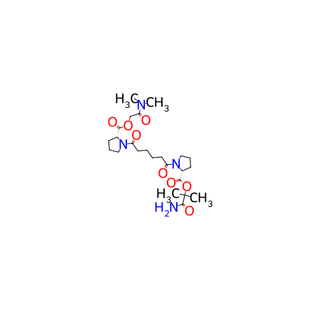 CN(C)C(=O)COC(=O)[C@H]1CCCN1C(=O)CCCCC(=O)N1CCC[C@@H]1C(=O)OC(C)(C)C(N)=O